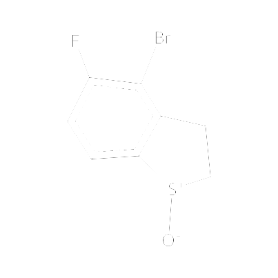 [O-][S+]1CCc2c1ccc(F)c2Br